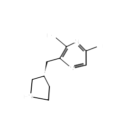 Cc1cnc(C[C@H]2CCNC2)c(C)n1